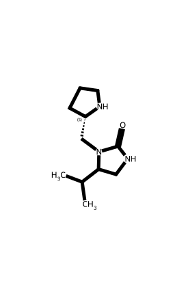 CC(C)C1CNC(=O)N1C[C@@H]1CCCN1